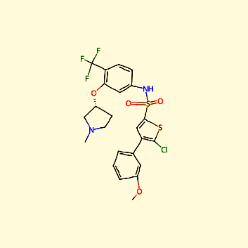 COc1cccc(-c2cc(S(=O)(=O)Nc3ccc(C(F)(F)F)c(O[C@@H]4CCN(C)C4)c3)sc2Cl)c1